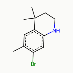 Cc1cc2c(cc1Br)NCCC2(C)C